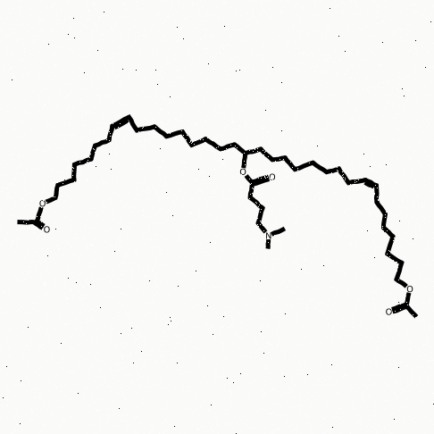 CC(=O)OCCCCCCC/C=C\CCCCCCCCC(CCCCCCCC/C=C\CCCCCCCOC(C)=O)OC(=O)CCCN(C)C